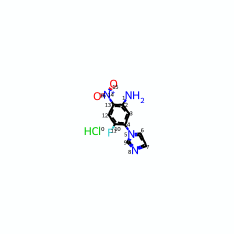 Cl.Nc1cc(-n2ccnc2)c(F)cc1[N+](=O)[O-]